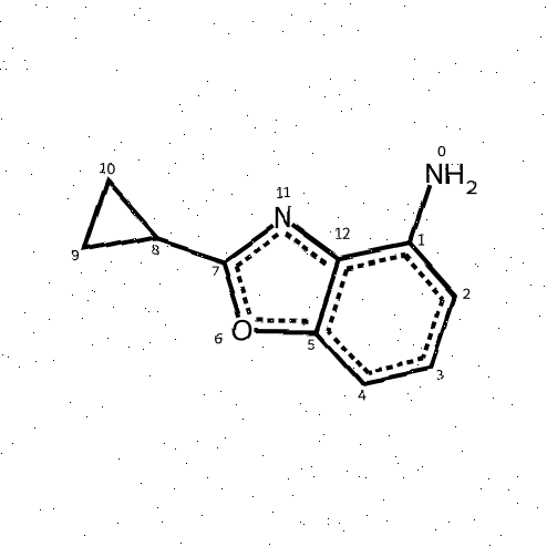 Nc1cccc2oc(C3CC3)nc12